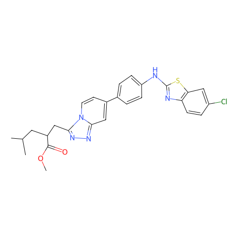 COC(=O)C(Cc1nnc2cc(-c3ccc(Nc4nc5ccc(Cl)cc5s4)cc3)ccn12)CC(C)C